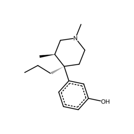 CCC[C@@]1(c2cccc(O)c2)CCN(C)C[C@@H]1C